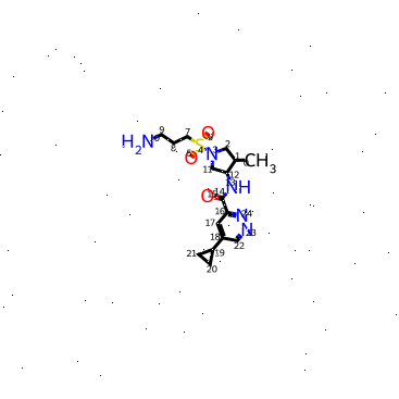 CC1CN(S(=O)(=O)CCCN)CC1NC(=O)c1cc(C2CC2)cnn1